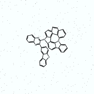 c1ccc2nc(-n3c4ccc5ccc6cccc7c6c5c4c4c3ccc3c5ccccc5n7c34)c(-c3ccc4sc5ccccc5c4c3)nc2c1